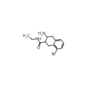 CCNC(=O)C1Cc2c(Br)cccc2CC1N